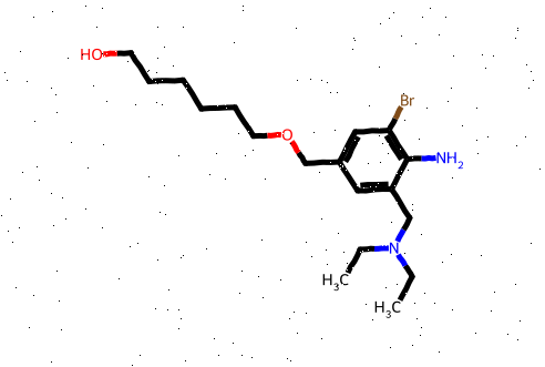 CCN(CC)Cc1cc(COCCCCCCO)cc(Br)c1N